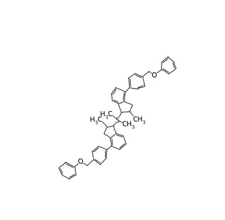 CC1Cc2c(-c3ccc(COc4ccccc4)cc3)cccc2C1S(C)(C)C1c2cccc(-c3ccc(COc4ccccc4)cc3)c2CC1C